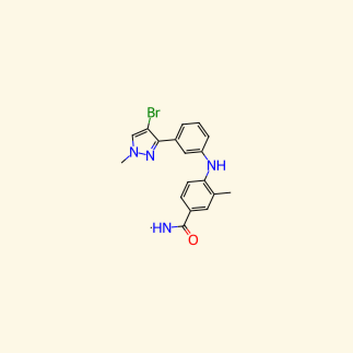 Cc1cc(C([NH])=O)ccc1Nc1cccc(-c2nn(C)cc2Br)c1